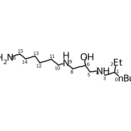 CCCCC(CC)CNCC(O)CNCCCCCCN